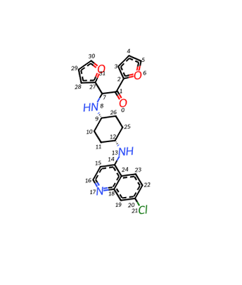 O=C(c1ccco1)C(N[C@H]1CC[C@@H](Nc2ccnc3cc(Cl)ccc23)CC1)c1ccco1